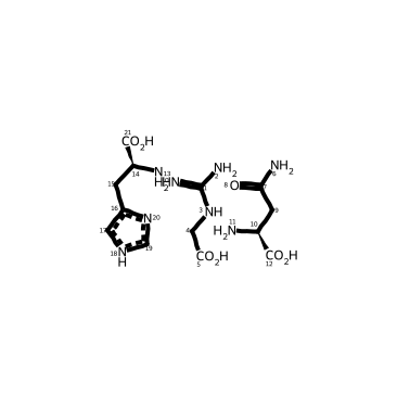 N=C(N)NCC(=O)O.NC(=O)C[C@H](N)C(=O)O.N[C@@H](Cc1c[nH]cn1)C(=O)O